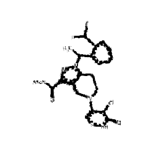 CNC(=O)c1nn(C(C)c2ccccc2C(F)F)c2c1CN(c1cn[nH]c(=O)c1Cl)CC2